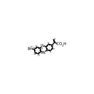 C=C(C(=O)O)c1ccc2c(c1)Sc1cc(Br)ccc1S2